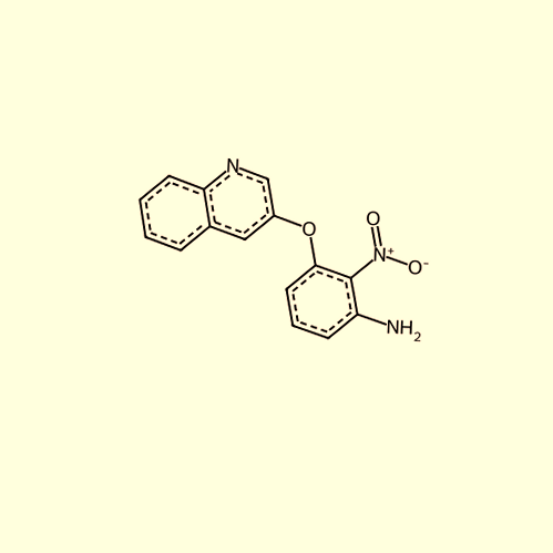 Nc1cccc(Oc2cnc3ccccc3c2)c1[N+](=O)[O-]